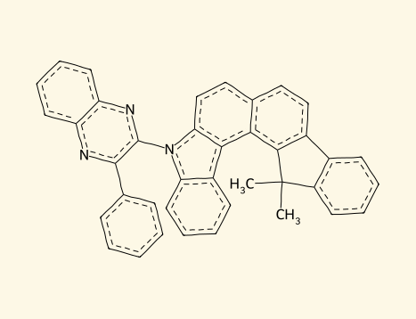 CC1(C)c2ccccc2-c2ccc3ccc4c(c5ccccc5n4-c4nc5ccccc5nc4-c4ccccc4)c3c21